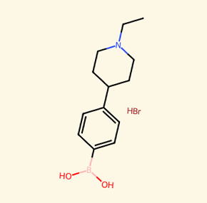 Br.CCN1CCC(c2ccc(B(O)O)cc2)CC1